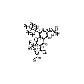 [2H]C([2H])([2H])C([2H])([2H])c1cc(OC(F)(F)F)cc2c1OC(C(F)(F)F)C(C(=O)OCC)=C2